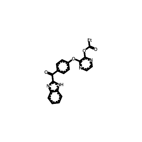 CCC(=O)Oc1nccnc1Oc1ccc(C(=O)c2nc3ccccc3[nH]2)cc1